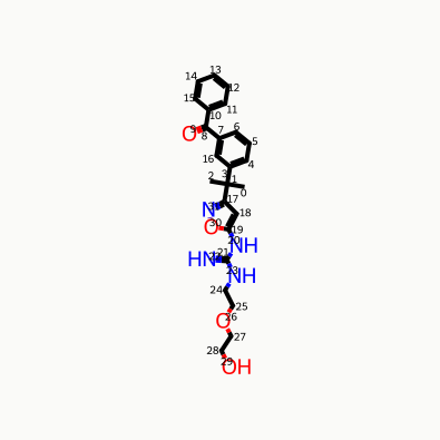 CC(C)(c1cccc(C(=O)c2ccccc2)c1)c1cc(NC(=N)NCCOCCO)on1